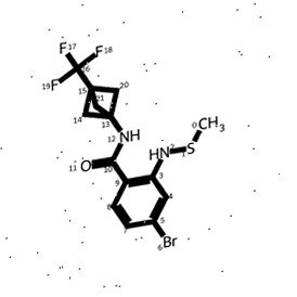 CSNc1cc(Br)ccc1C(=O)NC12CC(C(F)(F)F)(C1)C2